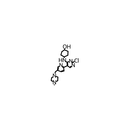 CN1CCN(Cc2ccc(-c3cnc(Cl)nc3NC3CCC(O)CC3)nc2)CC1